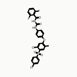 Cc1cc(S(=O)(=O)c2ccc(Cl)cc2)c(Cl)cc1Oc1ccc(NC(=O)NC(=O)c2c(F)cccc2F)cc1